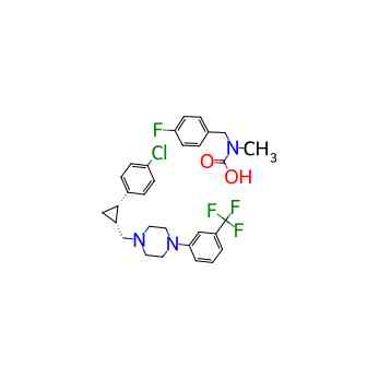 CN(Cc1ccc(F)cc1)C(=O)O.FC(F)(F)c1cccc(N2CCN(C[C@@H]3C[C@@H]3c3ccc(Cl)cc3)CC2)c1